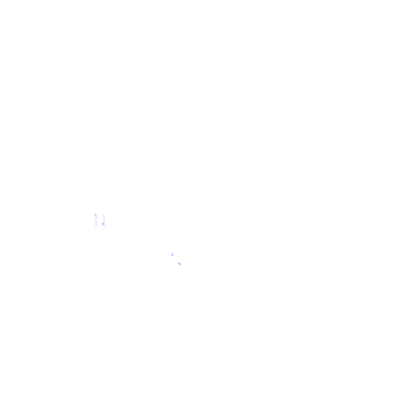 N#Cc1cc(-c2ccc(F)cc2)cc(Cl)n1